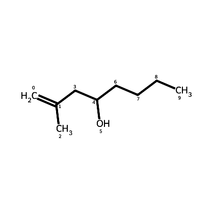 C=C(C)CC(O)CCCC